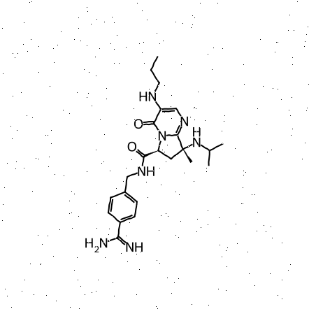 CCCNc1cnc2n(c1=O)[C@H](C(=O)NCc1ccc(C(=N)N)cc1)C[C@@]2(C)NC(C)C